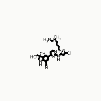 CN(CN)CCCCn1nc(Cl)cc1Nc1nccc(-c2cc(C#N)c3c(c2)C(C)(CO)CN3)n1